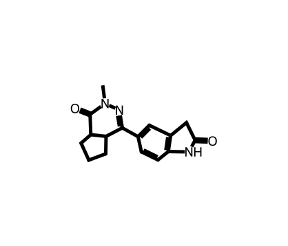 CN1N=C(c2ccc3c(c2)CC(=O)N3)C2CCCC2C1=O